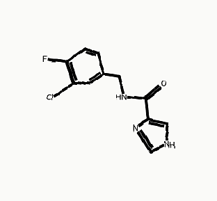 O=C(NCc1ccc(F)c(Cl)c1)c1c[nH]cn1